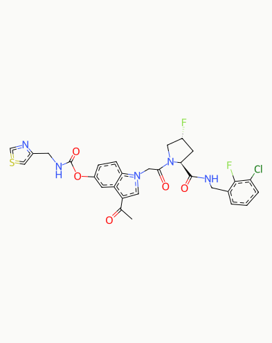 CC(=O)c1cn(CC(=O)N2C[C@H](F)C[C@H]2C(=O)NCc2cccc(Cl)c2F)c2ccc(OC(=O)NCc3cscn3)cc12